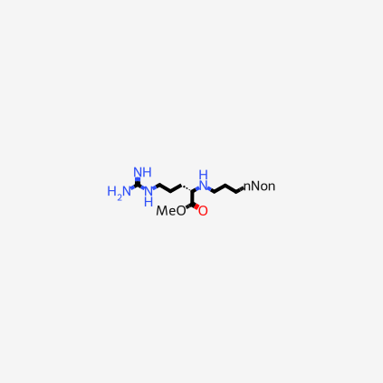 CCCCCCCCCCCCN[C@@H](CCCNC(=N)N)C(=O)OC